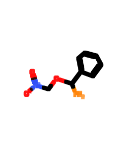 O=[N+]([O-])COC(P)c1ccccc1